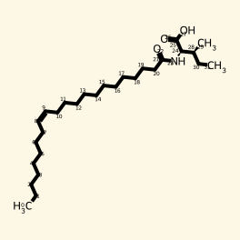 CCCCCCCC/C=C\CCCCCCCCCCCC(=O)N[C@H](C(=O)O)[C@@H](C)CC